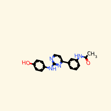 CC(=O)Nc1cccc(-c2ccnc(Nc3ccc(O)cc3)n2)c1